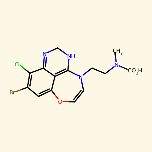 CN(CCN1C=COc2cc(Br)c(Cl)c3c2=C1NCN=3)C(=O)O